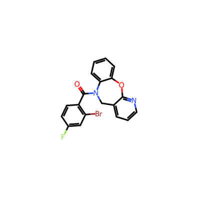 O=C(c1ccc(F)cc1Br)N1Cc2cccnc2Oc2ccccc21